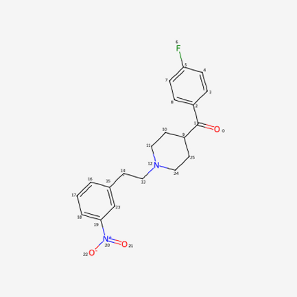 O=C(c1ccc(F)cc1)C1CCN(C[CH]c2cccc([N+](=O)[O-])c2)CC1